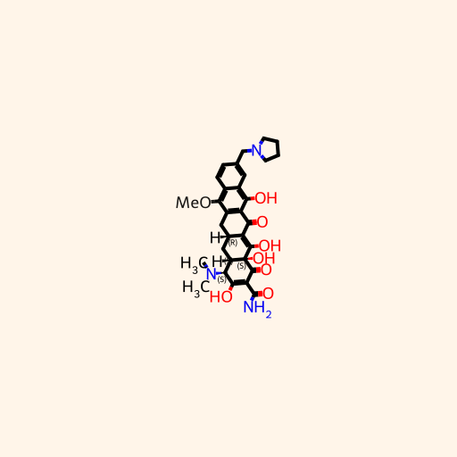 COc1c2c(c(O)c3cc(CN4CCCC4)ccc13)C(=O)C1=C(O)[C@]3(O)C(=O)C(C(N)=O)=C(O)[C@@H](N(C)C)[C@@H]3C[C@@H]1C2